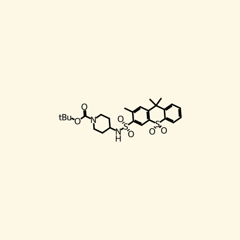 Cc1cc2c(cc1S(=O)(=O)NC1CCN(C(=O)OC(C)(C)C)CC1)S(=O)(=O)c1ccccc1C2(C)C